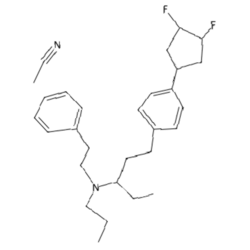 CC#N.CCCN(CCc1ccccc1)C(CC)CCc1ccc(C2CC(F)C(F)C2)cc1